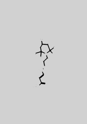 COC(=O)/C=C/OOCCN1C(C)(C)CC(N=O)CC1(C)C